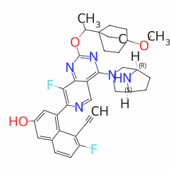 C#Cc1c(F)ccc2cc(O)cc(-c3ncc4c(N5C[C@H]6CC[C@@H](C5)N6)nc(OC(C)C56CCC(OC)(CC5)CC6)nc4c3F)c12